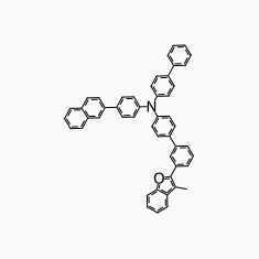 Cc1c(-c2cccc(-c3ccc(N(c4ccc(-c5ccccc5)cc4)c4ccc(-c5ccc6ccccc6c5)cc4)cc3)c2)oc2ccccc12